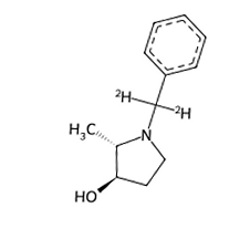 [2H]C([2H])(c1ccccc1)N1CC[C@@H](O)[C@@H]1C